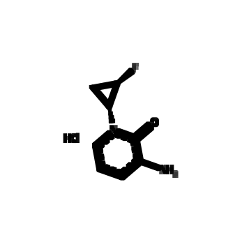 Cl.Nc1cccn([C@@H]2C[C@H]2F)c1=O